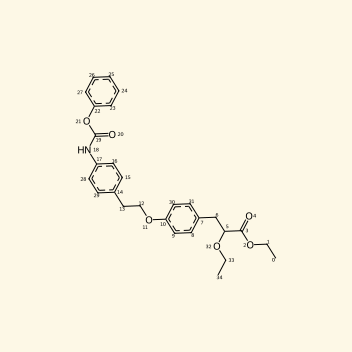 CCOC(=O)C(Cc1ccc(OCCc2ccc(NC(=O)Oc3ccccc3)cc2)cc1)OCC